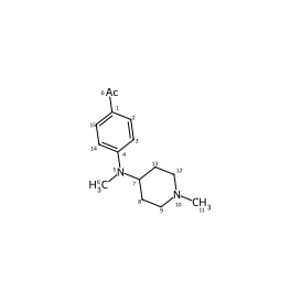 CC(=O)c1ccc(N(C)C2CCN(C)CC2)cc1